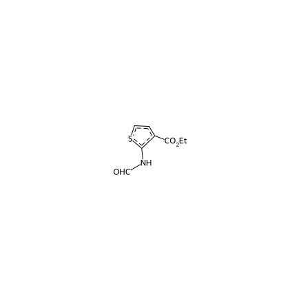 CCOC(=O)c1ccsc1NC=O